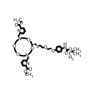 COC(=O)c1cccc(CN2CCOCCOCCN(Cc3cccc(C(=O)OC)n3)CCO[C@H](CSCCOCCOc3ccc(NC(=O)OC(C)(C)C)cc3)COCC2)n1